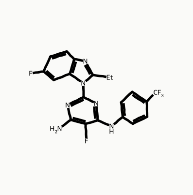 CCc1nc2ccc(F)cc2n1-c1nc(N)c(F)c(Nc2ccc(C(F)(F)F)cc2)n1